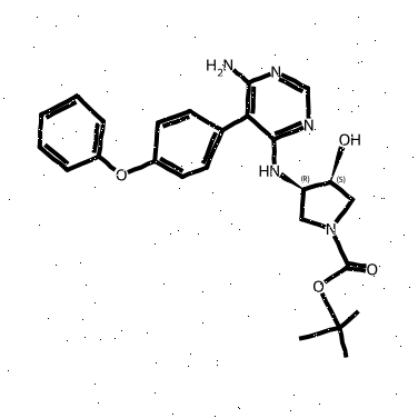 CC(C)(C)OC(=O)N1C[C@H](O)[C@H](Nc2ncnc(N)c2-c2ccc(Oc3ccccc3)cc2)C1